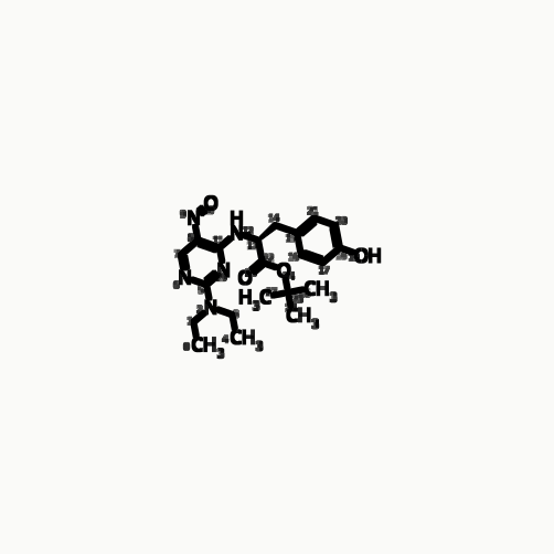 CCN(CC)c1ncc(N=O)c(N[C@@H](Cc2ccc(O)cc2)C(=O)OC(C)(C)C)n1